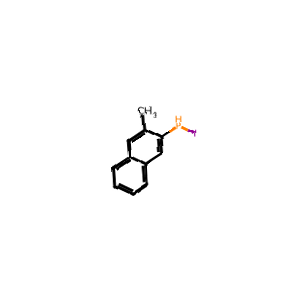 Cc1cc2ccccc2cc1PI